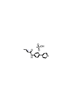 C/C=C/C(=O)Nc1ccc(-c2ccncc2)cc1.CS(=O)(=O)O